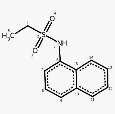 CCS(=O)(=O)Nc1cccc2ccccc12